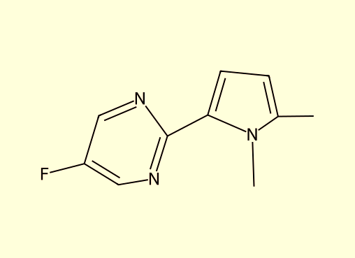 Cc1ccc(-c2ncc(F)cn2)n1C